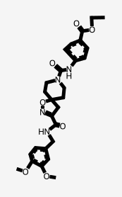 CCOC(=O)c1ccc(NC(=O)N2CCC3(CC2)CC(C(=O)NCc2ccc(OC)c(OC)c2)=NO3)cc1